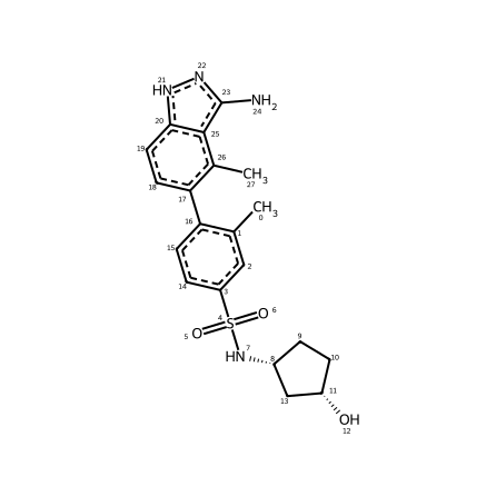 Cc1cc(S(=O)(=O)N[C@@H]2CC[C@H](O)C2)ccc1-c1ccc2[nH]nc(N)c2c1C